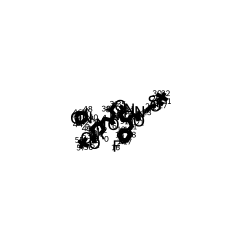 C[C@@H]1CN(CC(=O)N2c3cc(Cc4ccc(F)cc4)c(C(=O)NCCO[Si](C)(C)C(C)(C)C)nc3OC[C@@H]2C)[C@@H](CN2[C@H](C)COC[C@H]2C)CN1C(=O)OC(C)(C)C